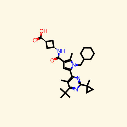 Cc1c(-c2cc(C(=O)N[C@H]3C[C@H](C(=O)O)C3)c(C)n2CC2CCCCC2)nc(C2(C)CC2)nc1C(C)(C)C